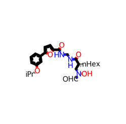 CCCCCC[C@H](CN(O)C=O)C(=O)NCNC(=O)c1ccc(-c2cccc(OC(C)C)c2)o1